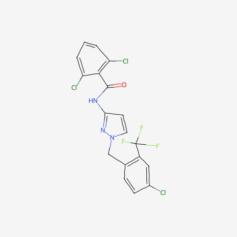 O=C(Nc1ccn(Cc2ccc(Cl)cc2C(F)(F)F)n1)c1c(Cl)cccc1Cl